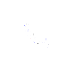 CCN(CC)CCNC(=O)C1C(C)=C(/C=c2\c(=C=O)[nH]c3ccc(/C(=C/Nc4ccc[nH]4)CN)cc23)NC1C